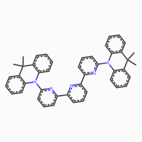 CC1(C)c2ccccc2N(c2cccc(-c3cccc(-c4cccc(N5c6ccccc6C(C)(C)c6ccccc65)n4)n3)n2)c2ccccc21